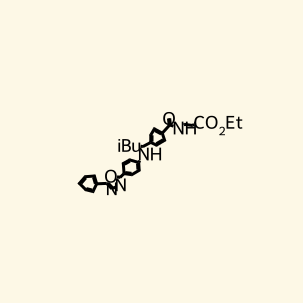 CCOC(=O)CCNC(=O)c1ccc(C(Nc2ccc(-c3nnc(-c4ccccc4)o3)cc2)C(C)CC)cc1